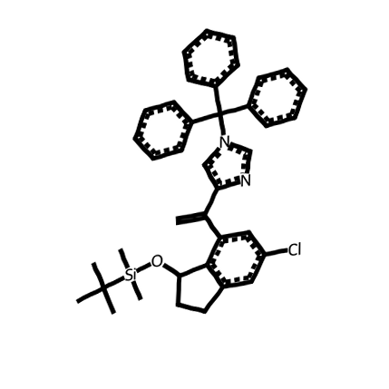 C=C(c1cn(C(c2ccccc2)(c2ccccc2)c2ccccc2)cn1)c1cc(Cl)cc2c1C(O[Si](C)(C)C(C)(C)C)CC2